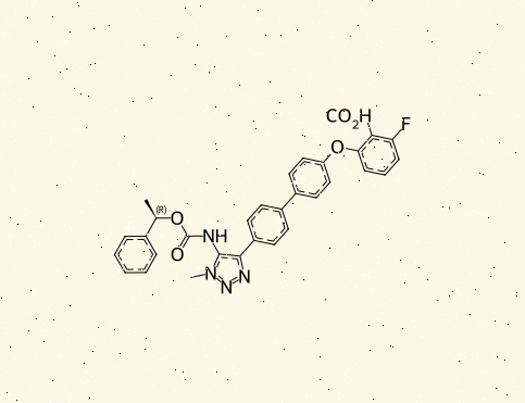 C[C@@H](OC(=O)Nc1c(-c2ccc(-c3ccc(Oc4cccc(F)c4C(=O)O)cc3)cc2)nnn1C)c1ccccc1